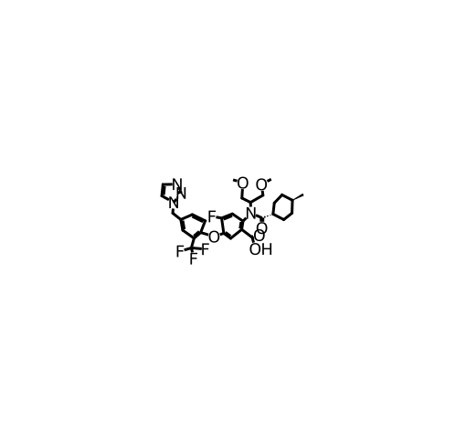 COCC(COC)N(c1cc(F)c(Oc2ccc(Cn3ccnn3)cc2C(F)(F)F)cc1C(=O)O)C(=O)[C@H]1CC[C@H](C)CC1